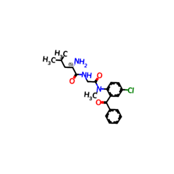 CC(C)C[C@H](N)C(=O)NCC(=O)N(C)c1ccc(Cl)cc1C(=O)c1ccccc1